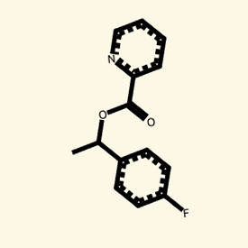 CC(OC(=O)c1ccccn1)c1ccc(F)cc1